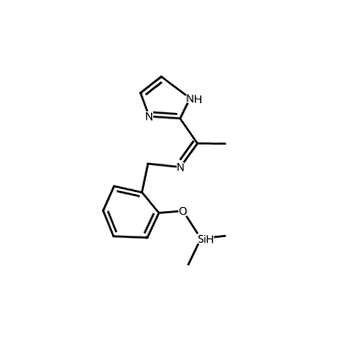 CC(=NCc1ccccc1O[SiH](C)C)c1ncc[nH]1